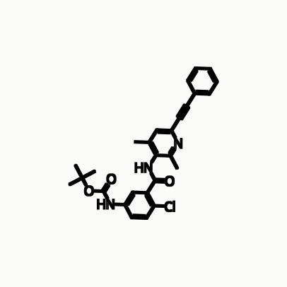 Cc1cc(C#Cc2ccccc2)nc(C)c1NC(=O)c1cc(NC(=O)OC(C)(C)C)ccc1Cl